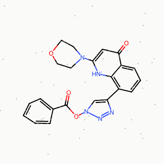 O=C(On1cc(-c2cccc3c(=O)cc(N4CCOCC4)[nH]c23)nn1)c1ccccc1